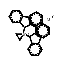 C1=C(c2ccccc2)[CH]([Zr+2]2([CH]3C(c4ccccc4)=Cc4ccccc43)[CH2][CH2]2)c2ccccc21.[Cl-].[Cl-]